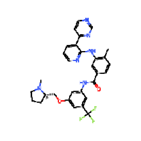 Cc1ccc(C(=O)Nc2cc(OC[C@@H]3CCCN3C)cc(C(F)(F)F)c2)cc1Nc1ncccc1-c1ccncn1